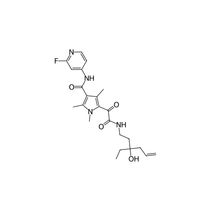 C=CCC(O)(CC)CCNC(=O)C(=O)c1c(C)c(C(=O)Nc2ccnc(F)c2)c(C)n1C